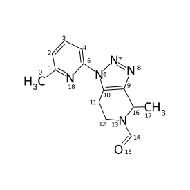 Cc1cccc(-n2nnc3c2CCN(C=O)C3C)n1